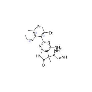 C\C=C/C(C(=C(\C)CC)/c1nc(N)c2c(n1)NC(=O)C2(C)C(=N)C=N)=C(\C)C(C)C